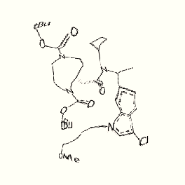 COCCCn1cc(Cl)c2ccc(C(C)N(C(=O)[C@H]3CN(C(=O)OC(C)(C)C)CCN3C(=O)OC(C)(C)C)C3CC3)cc21